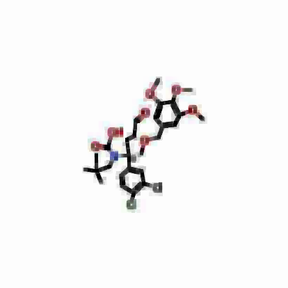 COc1cc(COC[C@](CCC=O)(c2ccc(Cl)c(Cl)c2)N(CC(C)(C)C)C(=O)O)cc(OC)c1OC